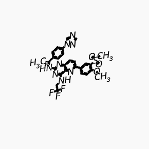 COc1ccc(-c2ccc3nc(N[C@H](C)c4ccc(-n5cncn5)cc4)nc(NCC(F)(F)F)c3n2)cc1S(C)(=O)=O